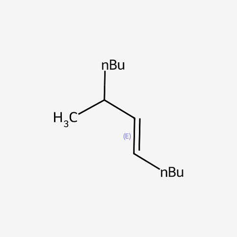 [CH2]CCC/C=C/C(C)CCC[CH2]